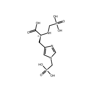 O=C(O)[C@H](Cc1cn(CP(=O)(O)O)cn1)NCP(=O)(O)O